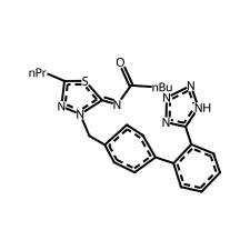 CCCCC(=O)N=c1sc(CCC)nn1Cc1ccc(-c2ccccc2-c2nnn[nH]2)cc1